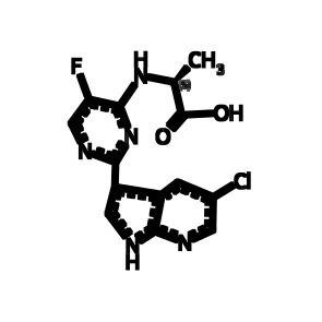 C[C@H](Nc1nc(-c2c[nH]c3ncc(Cl)cc23)ncc1F)C(=O)O